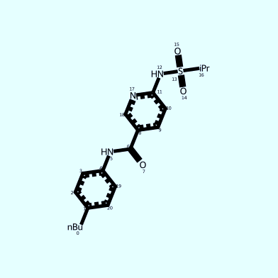 CCCCc1ccc(NC(=O)c2ccc(NS(=O)(=O)C(C)C)nc2)cc1